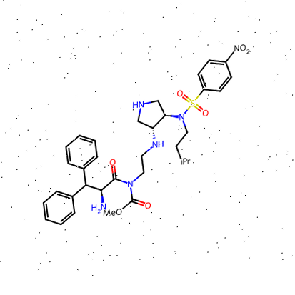 COC(=O)N(CCN[C@@H]1CNC[C@H]1N(CCC(C)C)S(=O)(=O)c1ccc([N+](=O)[O-])cc1)C(=O)[C@@H](N)C(c1ccccc1)c1ccccc1